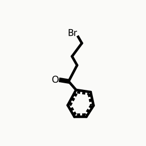 O=C(CCCBr)c1ccccc1